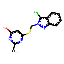 Cc1nc(O)cc(SCn2nc3ccccc3c2Cl)n1